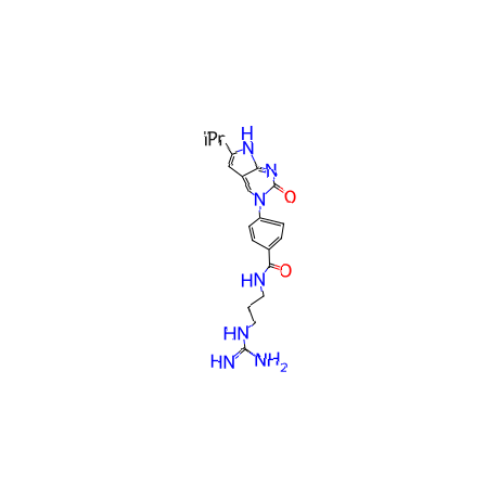 CC(C)c1cc2cn(-c3ccc(C(=O)NCCCNC(=N)N)cc3)c(=O)nc2[nH]1